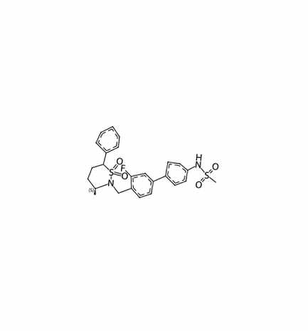 C[C@H]1CCC(c2ccccc2)S(=O)(=O)N1Cc1ccc(-c2ccc(NS(C)(=O)=O)cc2)cc1F